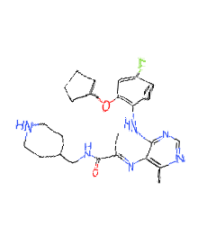 C/C(=N\c1c(C)ncnc1Nc1ccc(F)cc1OC1CCCC1)C(=O)NCC1CCNCC1